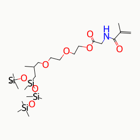 C=C(C)C(=O)NCC(=O)OCCOCCOCC(C)C[Si](C)(O[Si](C)(C)C)O[Si](C)(C)O[Si](C)(C)C